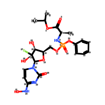 CC(C)OC(=O)[C@H](C)NP(=O)(OC[C@H]1O[C@@H](n2ccc(NO)nc2=O)[C@@](O)(F)[C@@H]1O)Oc1ccccc1